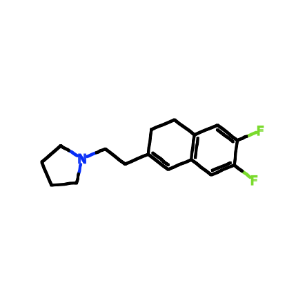 Fc1cc2c(cc1F)CCC(CCN1CCCC1)=C2